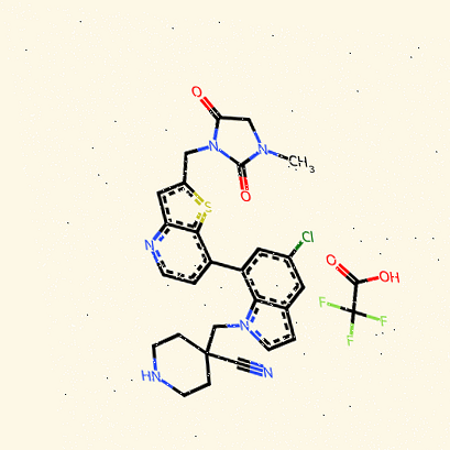 CN1CC(=O)N(Cc2cc3nccc(-c4cc(Cl)cc5ccn(CC6(C#N)CCNCC6)c45)c3s2)C1=O.O=C(O)C(F)(F)F